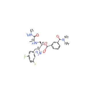 CCCN(CCC)C(=O)c1cccc(C(=O)O[C@H](CN[C@@H](C)C(=O)NCC)[C@@H](N)Cc2cc(F)cc(F)c2)c1